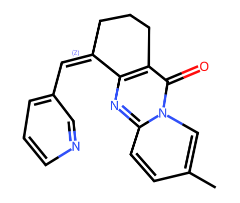 Cc1ccc2nc3c(c(=O)n2c1)CCC/C3=C/c1cccnc1